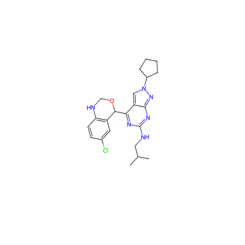 CC(C)CNc1nc(C2OCNc3ccc(Cl)cc32)c2cn(C3CCCC3)nc2n1